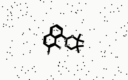 CC1(C)COB(c2cccc3ccc(F)c(F)c23)OC1(C)C